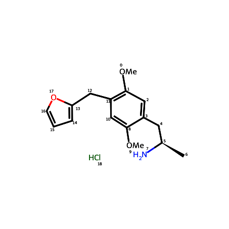 COc1cc(C[C@@H](C)N)c(OC)cc1Cc1ccco1.Cl